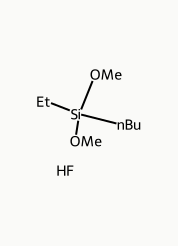 CCCC[Si](CC)(OC)OC.F